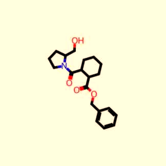 O=C(OCc1ccccc1)C1CCCCC1C(=O)N1CCCC1CO